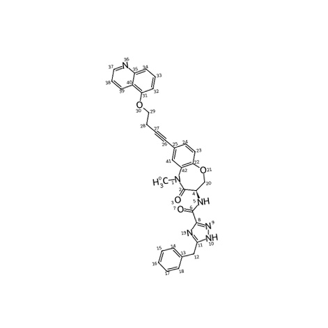 CN1C(=O)[C@H](NC(=O)c2n[nH]c(Cc3ccccc3)n2)COc2ccc(C#CCCOc3cccc4ncccc34)cc21